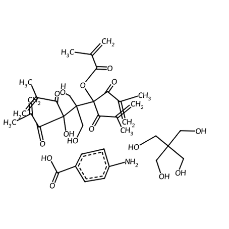 C=C(C)C(=O)OC(C(=O)C(=C)C)(C(=O)C(=C)C)C(CO)(CO)C(O)(C(=O)C(=C)C)C(=O)C(=C)C.Nc1ccc(C(=O)O)cc1.OCC(CO)(CO)CO